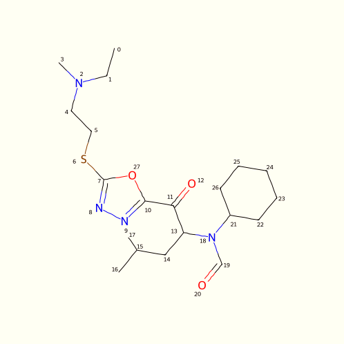 CCN(C)CCSc1nnc(C(=O)C(CC(C)C)N(C=O)C2CCCCC2)o1